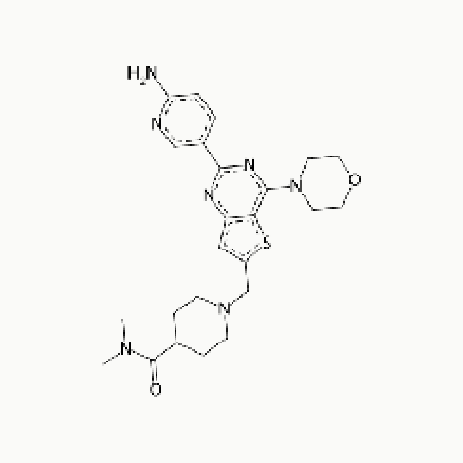 CN(C)C(=O)C1CCN(Cc2cc3nc(-c4ccc(N)nc4)nc(N4CCOCC4)c3s2)CC1